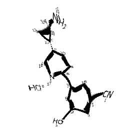 Cl.N#Cc1cc(O)cc(-c2ccc([C@@H]3C[C@H]3N)cn2)c1